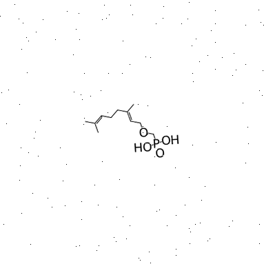 CC(C)=CCCC(C)=CCOCP(=O)(O)O